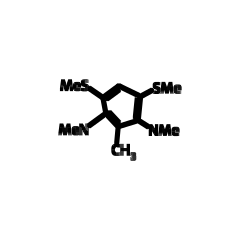 CNc1c(SC)cc(SC)c(NC)c1C